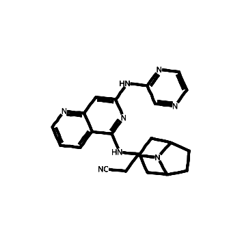 N#CCCN1C2CCC1CC(Nc1nc(Nc3cnccn3)cc3ncccc13)C2